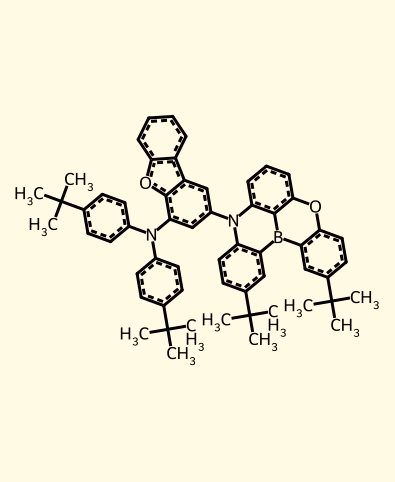 CC(C)(C)c1ccc(N(c2ccc(C(C)(C)C)cc2)c2cc(N3c4ccc(C(C)(C)C)cc4B4c5cc(C(C)(C)C)ccc5Oc5cccc3c54)cc3c2oc2ccccc23)cc1